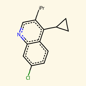 CC(C)c1cnc2cc(Cl)ccc2c1C1CC1